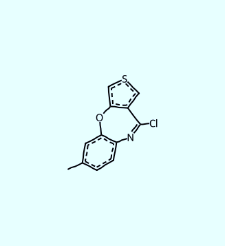 Cc1ccc2c(c1)Oc1cscc1C(Cl)=N2